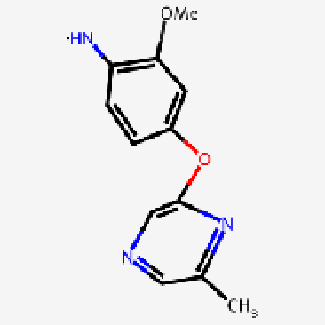 COc1cc(Oc2cncc(C)n2)ccc1[NH]